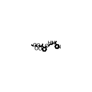 CCOC(=O)Oc1oc2cccc(OCCCNC(C)c3cccnc3)c2c1C